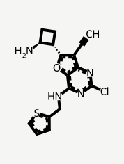 C#Cc1c([C@H]2CC[C@@H]2N)oc2c(NCc3cccs3)nc(Cl)nc12